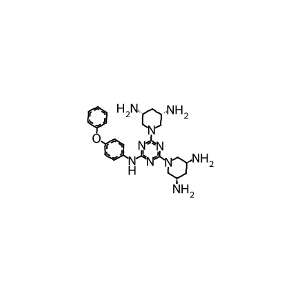 N[C@@H]1C[C@H](N)CN(c2nc(Nc3ccc(Oc4ccccc4)cc3)nc(N3C[C@H](N)C[C@H](N)C3)n2)C1